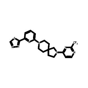 FC(F)(F)c1nccc(N2CCC3(CCN(c4cccc(-c5nncs5)n4)CC3)C2)n1